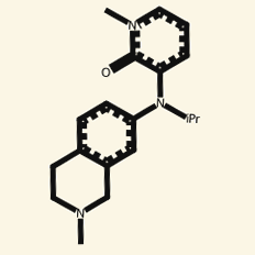 CC(C)N(c1ccc2c(c1)CN(C)CC2)c1cccn(C)c1=O